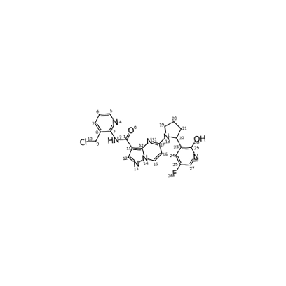 O=C(Nc1ncccc1CCl)c1cnn2ccc(N3CCCC3c3cc(F)cnc3O)nc12